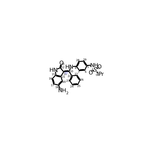 CC(C)S(=O)(=O)Nc1ccc(N/C(=C2\C(=O)Nc3ccc(N)cc32)c2ccccc2)cc1